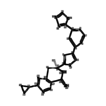 C[C@@]1(c2cc(-c3cccc(-c4nnco4)c3)cs2)Cc2nc(C3CC3)ncc2C(=N)N1